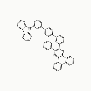 c1ccc(-c2nc3c4ccccc4c4ccccc4c3nc2-c2cccc(-c3ccc(-c4cccc(-n5c6ccccc6c6ccccc65)c4)cc3)c2)cc1